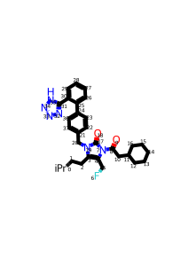 CC(C)CCc1c(CF)n(C(=O)CC2CCCCC2)c(=O)n1Cc1ccc(-c2ccccc2-c2nnn[nH]2)cc1